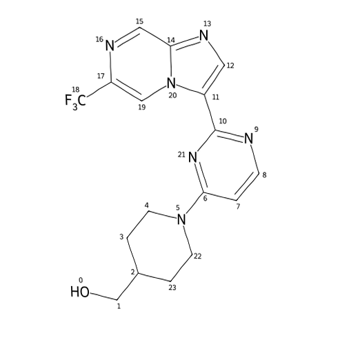 OCC1CCN(c2ccnc(-c3cnc4cnc(C(F)(F)F)cn34)n2)CC1